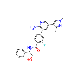 Cc1nn(C)cc1-c1cnc(N)c(-c2ccc(C(=O)NC(CO)c3ccccc3)c(F)c2)c1